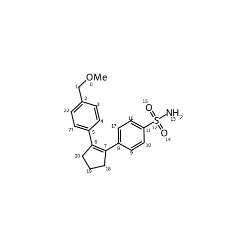 COCc1ccc(C2=C(c3ccc(S(N)(=O)=O)cc3)CCC2)cc1